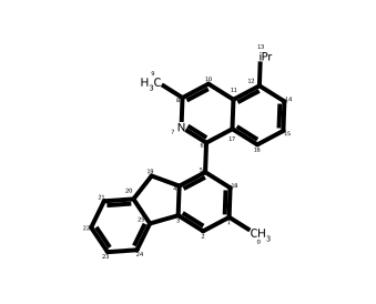 Cc1cc2c(c(-c3nc(C)cc4c(C(C)C)cccc34)c1)Cc1ccccc1-2